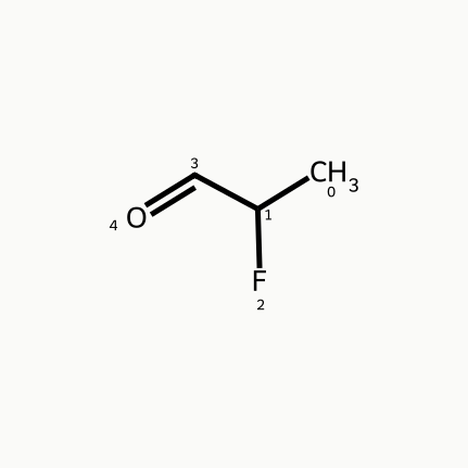 CC(F)C=O